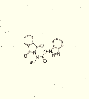 CC(C)N(C(=O)On1nnc2ccccc21)N1C(=O)c2ccccc2C1=O